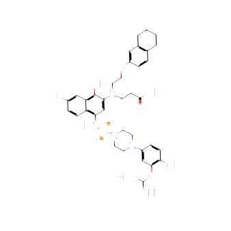 CC(C)Oc1cc(N2CCN(S(=O)(=O)Nc3cc(N(CCOc4ccc5c(c4)CCCC5)CCC(=O)O)c(O)c4cc(F)ccc34)CC2)ccc1Cl